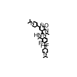 Cc1nc(N[C@H](C)c2cccc(C(F)(F)C3CCN(C(C)C)CC3)c2F)c2cc(C3=CCN(C(C)C)CC3)n(C)c(=O)c2n1